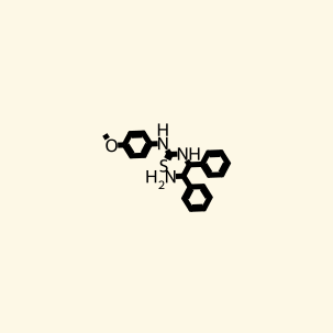 COc1ccc(NC(=S)NC(c2ccccc2)C(N)c2ccccc2)cc1